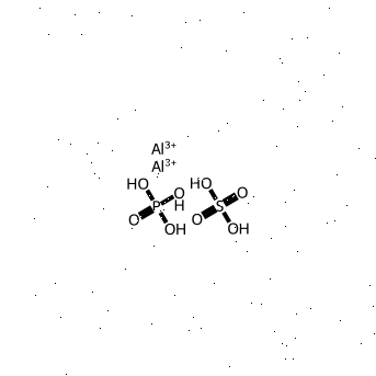 O=P(O)(O)O.O=S(=O)(O)O.[Al+3].[Al+3]